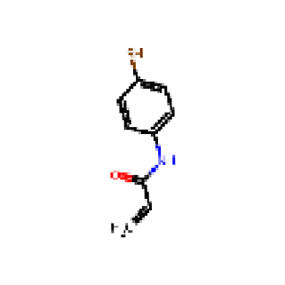 C=CC(=O)Nc1ccc(S)cc1